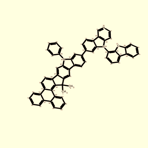 CC1(C)c2cc3c4ccc(-c5ccc6c7cnccc7n(-c7cccc8c7oc7ccccc78)c6c5)cc4n(-c4ccccc4)c3cc2-c2ccc3c4ccccc4c4ccccc4c3c21